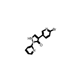 O=c1c(-c2ccc(Br)nc2)c[nH]n1-c1ccccn1